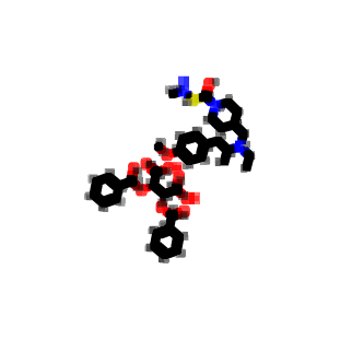 CCN(CC1CCN(C(=O)SNC)CC1)C(C)Cc1ccc(OC)cc1.O=C(O[C@@H](C(=O)O)[C@@H](OC(=O)c1ccccc1)C(=O)O)c1ccccc1